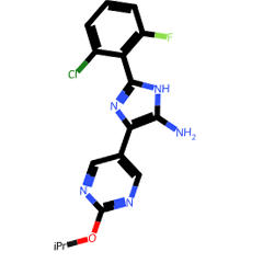 CC(C)Oc1ncc(-c2nc(-c3c(F)cccc3Cl)[nH]c2N)cn1